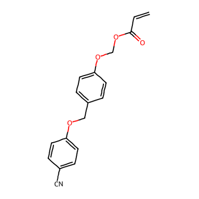 C=CC(=O)OCOc1ccc(COc2ccc(C#N)cc2)cc1